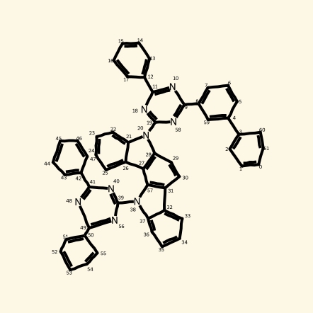 c1ccc(-c2cccc(-c3nc(-c4ccccc4)nc(-n4c5ccccc5c5c4ccc4c6ccccc6n(-c6nc(-c7ccccc7)nc(-c7ccccc7)n6)c45)n3)c2)cc1